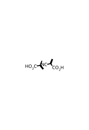 C=C(C#N)C(=O)O.C=C(C)C(=O)O